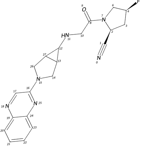 N#C[C@@H]1C[C@H](F)CN1C(=O)CNC1C2CN(c3cnc4ccccc4n3)CC21